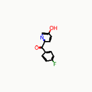 O=C(c1ccc(F)cc1)c1ccc(O)cn1